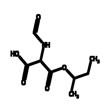 CCC(C)OC(=O)C(NC=O)C(=O)O